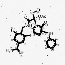 CCO[C@](OC(C)=O)(C(=O)NCc1c(F)cc(C(=N)N)cc1F)n1cccc(Nc2ccccc2)c1=O